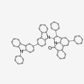 O=c1c2ccccc2c2cc(-c3ccccc3)cc3c(-c4ccccc4)c(-n4c5ccccc5c5cc(-c6ccc7c(c6)c6ccccc6n7-c6ccccc6)ccc54)n1c32